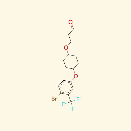 O=CCCOC1CCC(Oc2ccc(Br)c(C(F)(F)F)c2)CC1